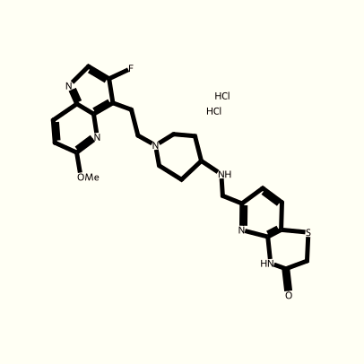 COc1ccc2ncc(F)c(CCN3CCC(NCc4ccc5c(n4)NC(=O)CS5)CC3)c2n1.Cl.Cl